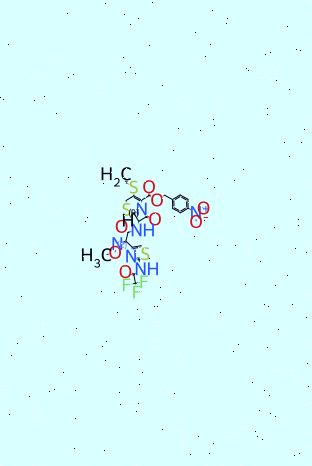 C=CSC1=C(C(=O)OCc2ccc([N+](=O)[O-])cc2)N2C(=O)C(NC(=O)/C(=N/OC)c3csc(NC(=O)C(F)(F)F)n3)[C@H]2SC1